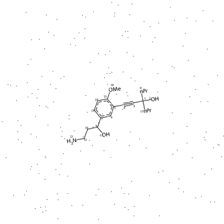 CCCC(O)(C#Cc1cc(C(O)CCN)ccc1OC)CCC